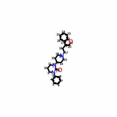 O=C1N(c2ccccc2)CCCN1C1CCN(CCc2coc3ccccc23)CC1